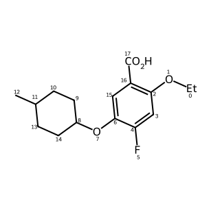 CCOc1cc(F)c(OC2CCC(C)CC2)cc1C(=O)O